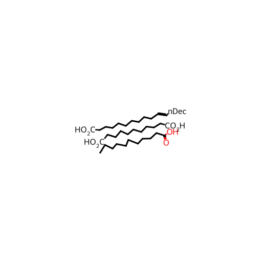 CCCCCCCCCC/C=C/CCCCCCCCCC(=O)O.CCCCCCCCCCC(=O)O.O=C(O)CCCCCCCCCC(=O)O